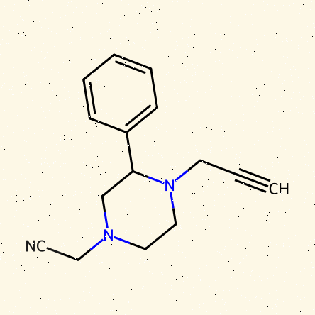 C#CCN1CCN(CC#N)CC1c1ccccc1